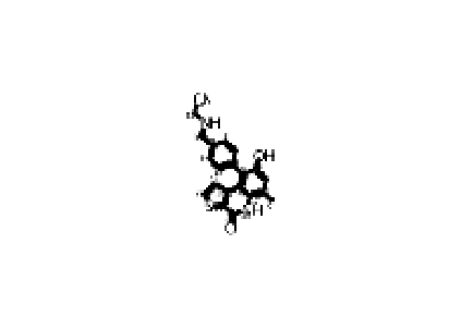 Cc1cc(O)c(-c2ccc(CNCC#N)cc2)c2c1[nH]c(=O)c1sccc12